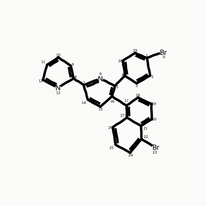 Brc1ccc(-c2nc(-c3ccccn3)ccc2-c2cccc3c(Br)cccc23)cc1